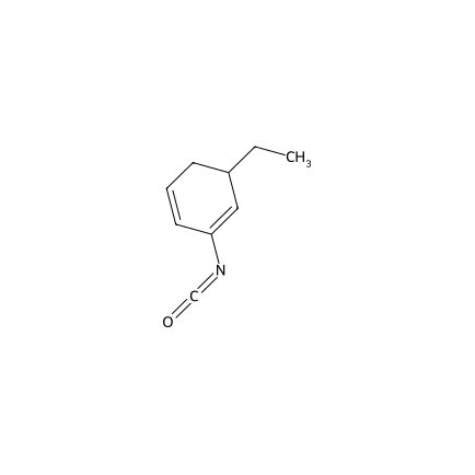 CCC1C=C(N=C=O)C=CC1